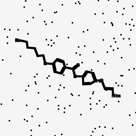 CCCCCCC=COc1ccc(OC(=O)c2ccc(OCCCCCC(C)CC)cc2)cc1